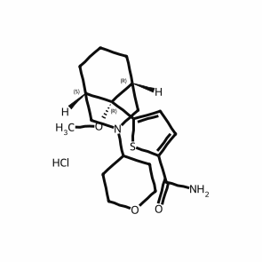 CO[C@@]1(c2ccc(C(N)=O)s2)[C@@H]2CCC[C@H]1CN(C1CCOCC1)C2.Cl